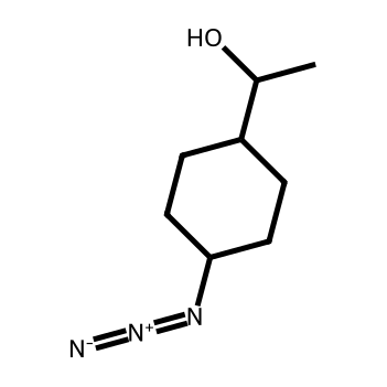 CC(O)C1CCC(N=[N+]=[N-])CC1